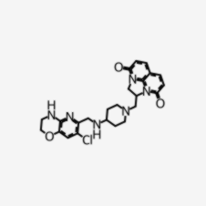 O=c1ccc2ccc(=O)n3c2n1CC3CN1CCC(NCc2nc3c(cc2Cl)OCCN3)CC1